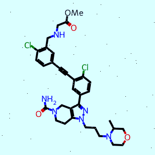 COC(=O)CNCc1cc(C#Cc2cc(-c3nn(CCCN4CCOCC4C)c4c3CN(C(N)=O)CC4)ccc2Cl)ccc1Cl